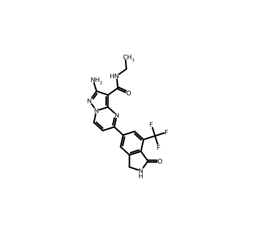 CCNC(=O)c1c(N)nn2ccc(-c3cc4c(c(C(F)(F)F)c3)C(=O)NC4)nc12